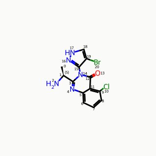 C[C@H](N)c1nc2cccc(Cl)c2c(=O)n1-c1n[nH]cc1Br